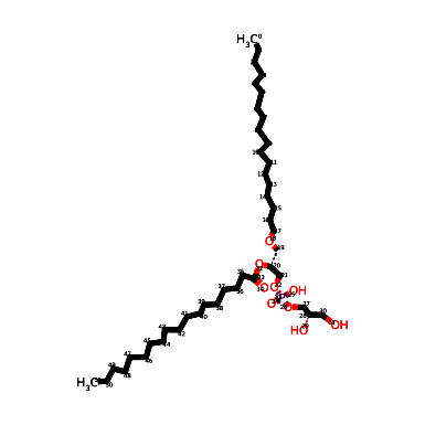 CCCCCCCCCCCCCCCCCCOC[C@H](COP(=O)(O)OC[C@@H](O)CO)OC(=O)CCCCCCCCCCCCCCCCC